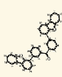 O=C(c1cccc(-c2cccc3c2oc2ccccc23)c1)c1cccc(-c2cccc3c2oc2ccccc23)c1